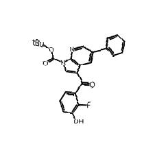 CC(C)(C)OC(=O)n1cc(C(=O)c2cccc(O)c2F)c2cc(-c3ccccc3)cnc21